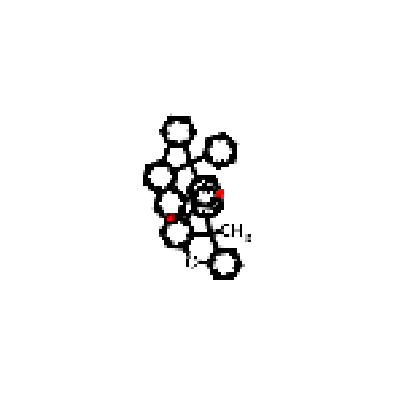 CC1(c2ccccc2)c2ccccc2Oc2cccc(-c3cccc(C4(c5ccccc5)c5ccccc5-c5ccc6ccccc6c54)c3)c21